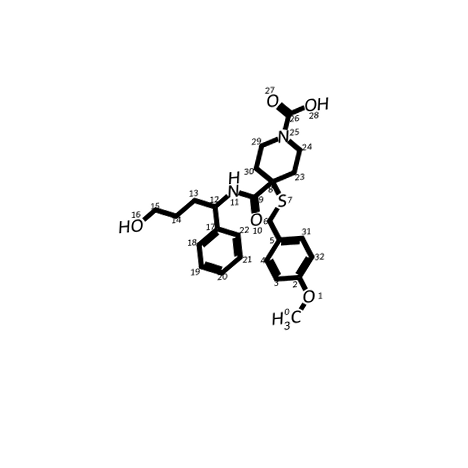 COc1ccc(CSC2(C(=O)NC(CCCO)c3ccccc3)CCN(C(=O)O)CC2)cc1